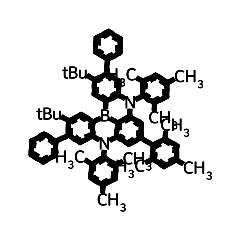 Cc1cc(C)c(-c2cc3c4c(c2)N(c2c(C)cc(C)cc2C)c2cc(-c5ccccc5)c(C(C)(C)C)cc2B4c2cc(C(C)(C)C)c(-c4ccccc4)cc2N3c2c(C)cc(C)cc2C)c(C)c1